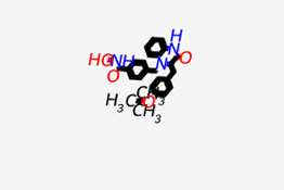 CC(C)(C)Oc1ccc(CC2C(=O)Nc3ccccc3N2Cc2ccc(C(=O)NO)cc2)cc1